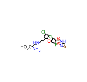 NC(CCNCCCc1cc(Cl)ccc1Oc1cc(F)c(S(=O)(=O)Nc2cscn2)cc1Cl)C(=O)O